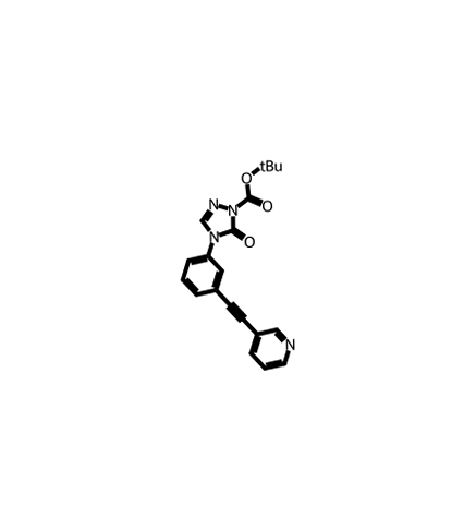 CC(C)(C)OC(=O)n1ncn(-c2cccc(C#Cc3cccnc3)c2)c1=O